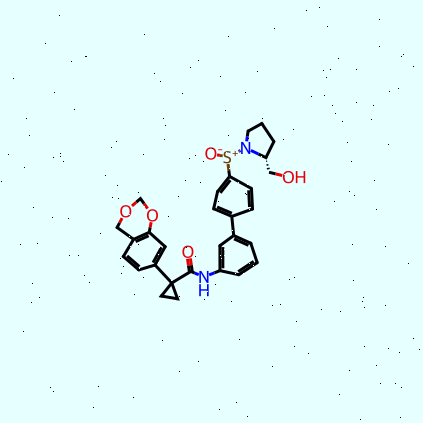 O=C(Nc1cccc(-c2ccc([S+]([O-])N3CCC[C@@H]3CO)cc2)c1)C1(c2ccc3c(c2)OCOC3)CC1